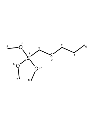 CCCSC[Si](OC)(OC)OC